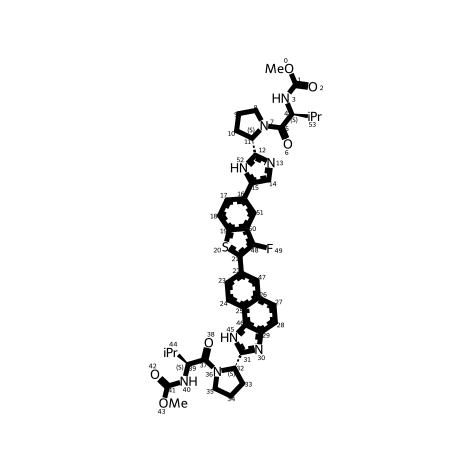 COC(=O)N[C@H](C(=O)N1CCC[C@H]1c1ncc(-c2ccc3sc(-c4ccc5c(ccc6nc([C@@H]7CCCN7C(=O)[C@@H](NC(=O)OC)C(C)C)[nH]c65)c4)c(F)c3c2)[nH]1)C(C)C